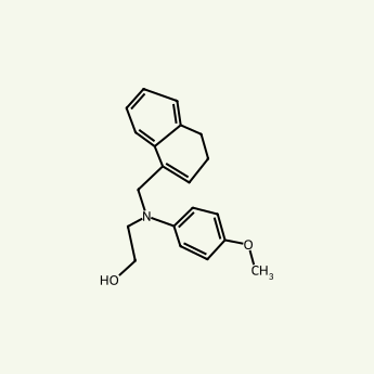 COc1ccc(N(CCO)CC2=CCCc3ccccc32)cc1